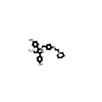 CCc1c(-c2ccc(O)cc2)nn(Cc2ccc(OCCN3CCCCC3)cc2)c1-c1ccc(O)cc1